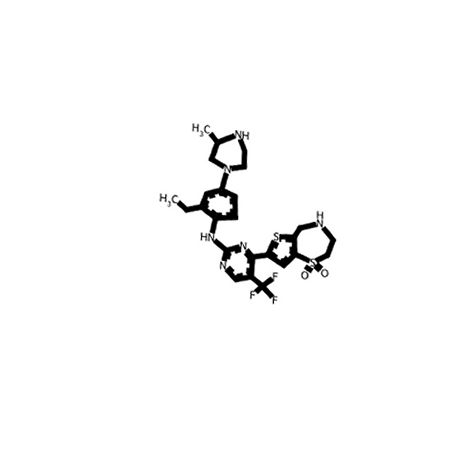 CCc1cc(N2CCNC(C)C2)ccc1Nc1ncc(C(F)(F)F)c(-c2cc3c(s2)CNCCS3(=O)=O)n1